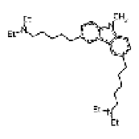 CCN(CC)CCCCCc1ccc2c(c1)c1cc(CCCCCN(CC)CC)ccc1n2C